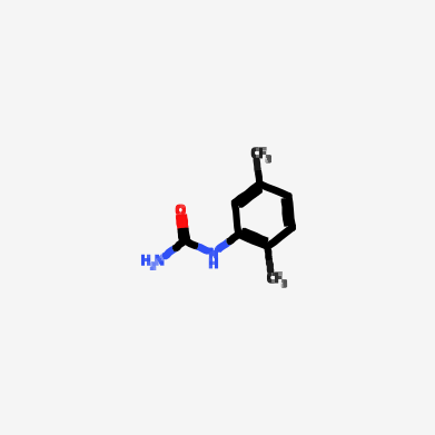 NC(=O)Nc1cc(C(F)(F)F)ccc1C(F)(F)F